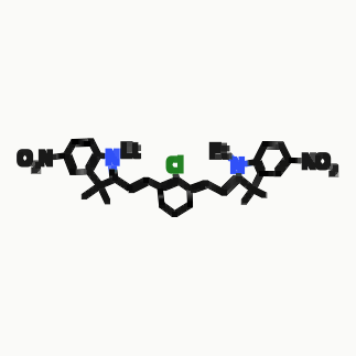 CCN1/C(=C\C=C2/CCCC(/C=C/C3=[N+](CC)c4ccc([N+](=O)[O-])cc4C3(C)C)=C2Cl)C(C)(C)c2cc([N+](=O)[O-])ccc21